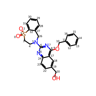 O=S1(=O)CCN(c2nc(OCc3ccccc3)c3cc(CO)ccc3n2)Cc2ccccc21